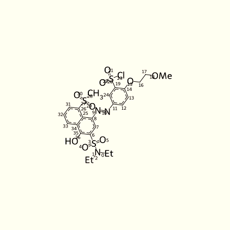 CCN(CC)S(=O)(=O)c1cc(N=Nc2ccc(OCCOC)c(S(=O)(=O)Cl)c2)c2c(S(C)(=O)=O)cccc2c1O